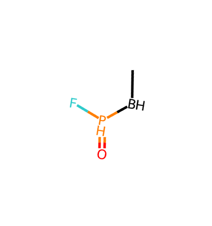 CB[PH](=O)F